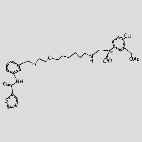 CC(=O)OCc1cc([C@@H](O)CNCCCCCCOCCOCc2cccc(NC(=O)c3cccs3)c2)ccc1O